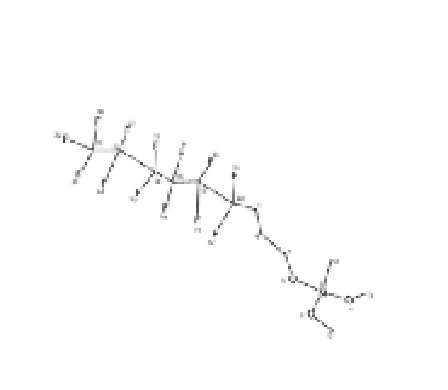 CO[Si](C)(OC)OCCCC(F)(F)C(F)(F)C(F)(F)C(F)(F)C(F)(F)C(F)(F)F